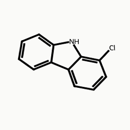 Clc1cccc2c1[nH]c1ccccc12